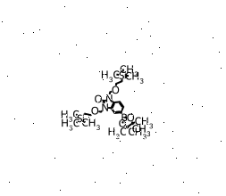 CC1(C)OB(c2ccc3c(c2)n(COCC[Si](C)(C)C)c(=O)n3COCC[Si](C)(C)C)OC1(C)C